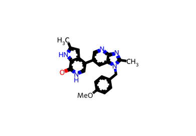 COc1ccc(Cn2c(C)nc3ncc(-c4c[nH]c(=O)c5[nH]c(C)cc45)cc32)cc1